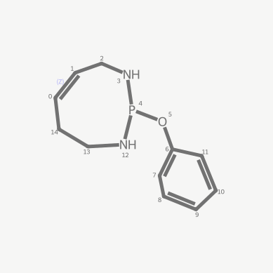 C1=C\CNP(Oc2ccccc2)NCC/1